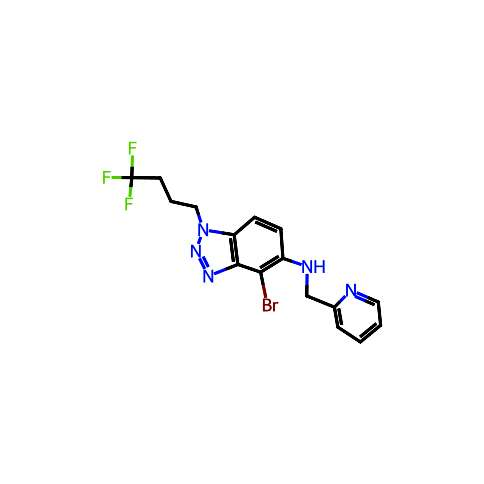 FC(F)(F)CCCn1nnc2c(Br)c(NCc3ccccn3)ccc21